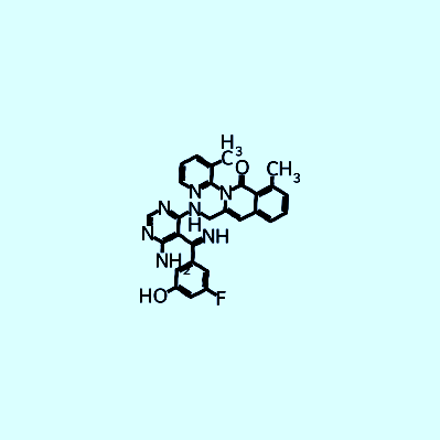 Cc1cccnc1-n1c(CNc2ncnc(N)c2C(=N)c2cc(O)cc(F)c2)cc2cccc(C)c2c1=O